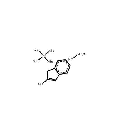 CCCC[N+](CCCC)(CCCC)CCCC.O=S(=O)(O)O.OC1=Cc2ccccc2C1